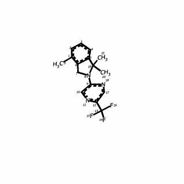 Cc1cccc2c1CN(c1cnc(C(F)(F)F)cn1)C2(C)C